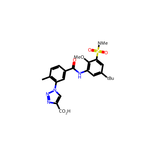 CNS(=O)(=O)c1cc(C(C)(C)C)cc(NC(=O)c2ccc(C)c(-n3cc(C(=O)O)nn3)c2)c1OC